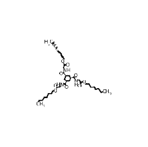 C=C=C=C=C=C=C=COC(=O)CNC(=O)[C@H]1C[C@@H](C(=O)NCC(=O)OCCCCCCCC)C[C@@H](C(=O)NCC(=O)OCCCCCCCC)C1